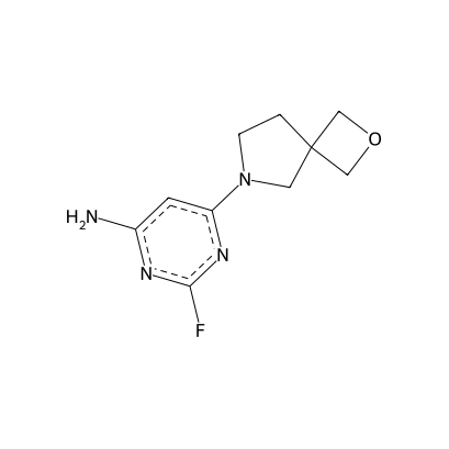 Nc1cc(N2CCC3(COC3)C2)nc(F)n1